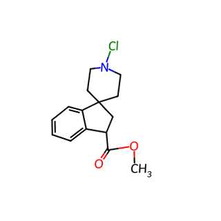 COC(=O)C1CC2(CCN(Cl)CC2)c2ccccc21